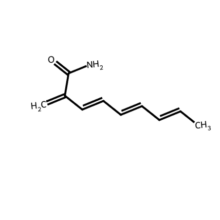 C=C(C=CC=CC=CC)C(N)=O